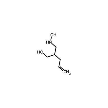 C=CCC(CO)CNO